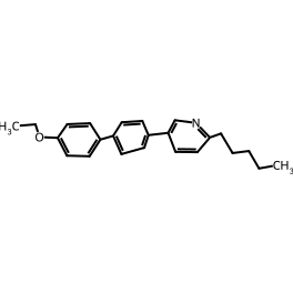 CCCCCc1ccc(-c2ccc(-c3ccc(OCC)cc3)cc2)cn1